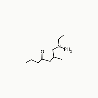 CCCC(=O)CC(C)CN(P)CC